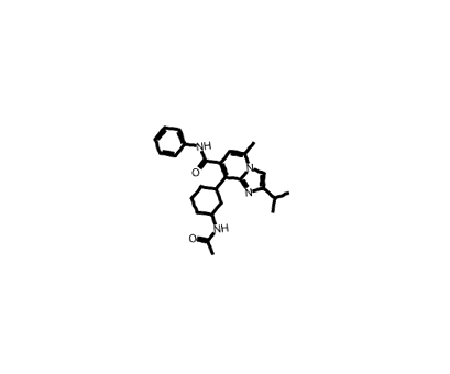 CC(=O)NC1CCCC(c2c(C(=O)Nc3ccccc3)cc(C)n3cc(C(C)C)nc23)C1